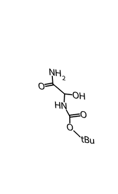 CC(C)(C)OC(=O)NC(O)C(N)=O